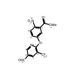 COC(=O)c1cc(Oc2ncc(C=O)cc2C(F)(F)F)ccc1[N+](=O)[O-]